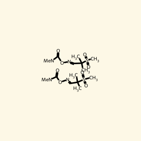 CNC(=O)O/N=C/C(C)(C)S(C)(=O)=O.CNC(=O)O/N=C/C(C)(C)S(C)(=O)=O